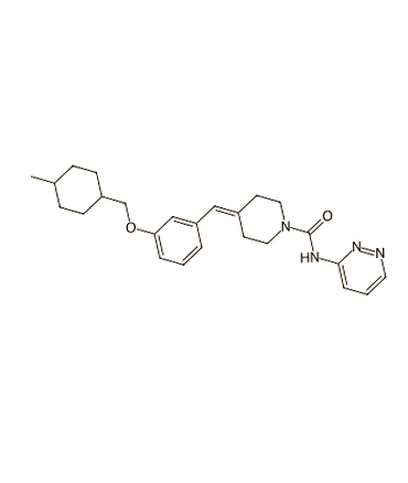 CC1CCC(COc2cccc(C=C3CCN(C(=O)Nc4cccnn4)CC3)c2)CC1